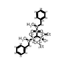 CCOP(=O)(OCC)C(S(=O)(=O)N(C)Cc1ccccc1)S(=O)(=O)N(C)Cc1ccccc1